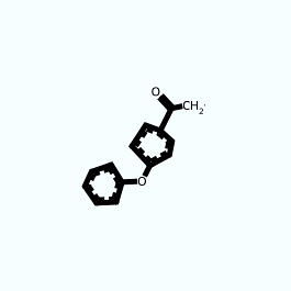 [CH2]C(=O)c1ccc(Oc2ccccc2)cc1